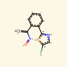 C=C(N=O)c1ccccc1-c1ncc(F)s1